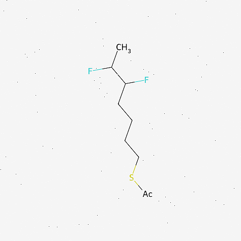 CC(=O)SCCCCC(F)C(C)F